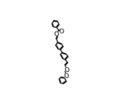 O=C(OC=Cc1ccc(-c2ccc(C=COCOc3ccccc3)cc2)cc1)c1ccccc1